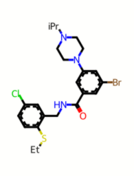 CCSc1ccc(Cl)cc1CNC(=O)c1cc(Br)cc(N2CCN(C(C)C)CC2)c1